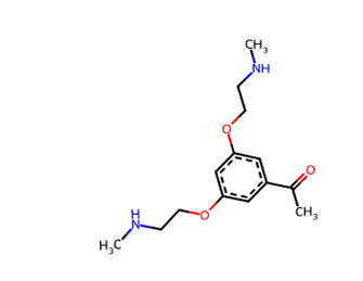 CNCCOc1cc(OCCNC)cc(C(C)=O)c1